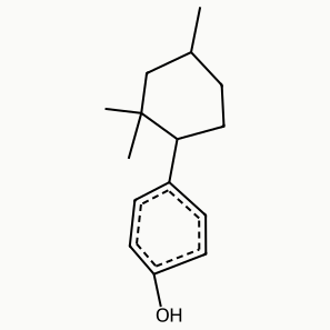 CC1CCC(c2ccc(O)cc2)C(C)(C)C1